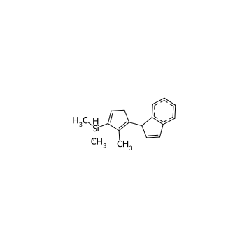 CC1=C(C2C=Cc3ccccc32)CC=C1[SiH](C)C